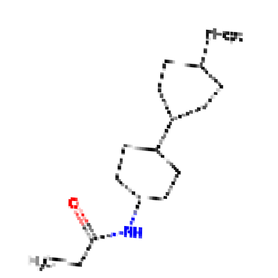 C=CC(=O)NC1CCC(C2CCC(CCCCCCC)CC2)CC1